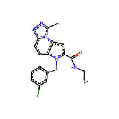 Cc1nnc2ccc3c(cc(C(=O)NCC(C)C)n3Cc3cccc(Cl)c3)n12